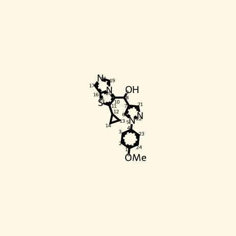 COc1ccc(-n2cc(C(O)c3c(C4CC4)sc4cncn34)cn2)cc1